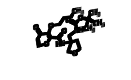 CCCCOc1c(C(=O)NC2(CNC(=O)OC(C)(C)C)CCOC2)occc1=O